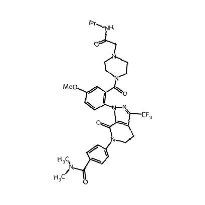 COc1ccc(-n2nc(C(F)(F)F)c3c2C(=O)N(c2ccc(C(=O)N(C)C)cc2)CC3)c(C(=O)N2CCN(CC(=O)NC(C)C)CC2)c1